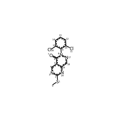 CSc1ncc2c(=O)n(-c3c(Cl)cccc3Cl)ncc2n1